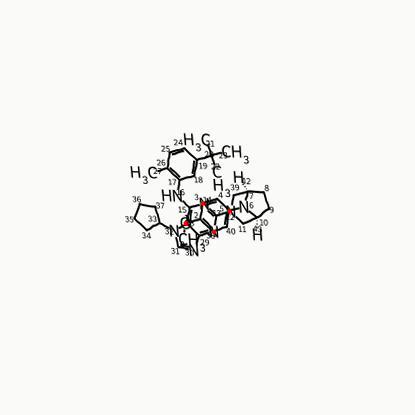 COc1ccc(N2[C@@H]3CC[C@H]2CN(c2nc(Nc4cc(C(C)(C)C)ccc4C)c4c(ncn4C4CCCC4)n2)C3)cc1